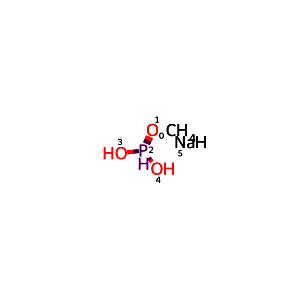 C.O=[PH](O)O.[NaH]